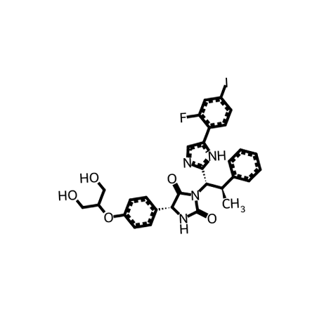 C[C@H](c1ccccc1)[C@@H](c1ncc(-c2ccc(I)cc2F)[nH]1)N1C(=O)N[C@H](c2ccc(OC(CO)CO)cc2)C1=O